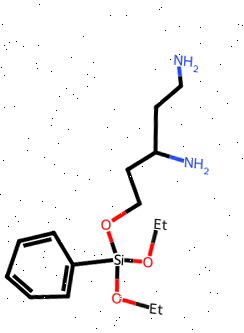 CCO[Si](OCC)(OCCC(N)CCN)c1ccccc1